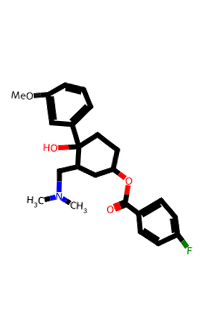 COc1cccc(C2(O)CCC(OC(=O)c3ccc(F)cc3)CC2CN(C)C)c1